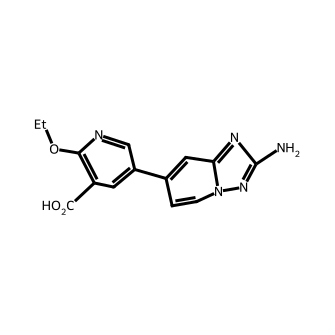 CCOc1ncc(-c2ccn3nc(N)nc3c2)cc1C(=O)O